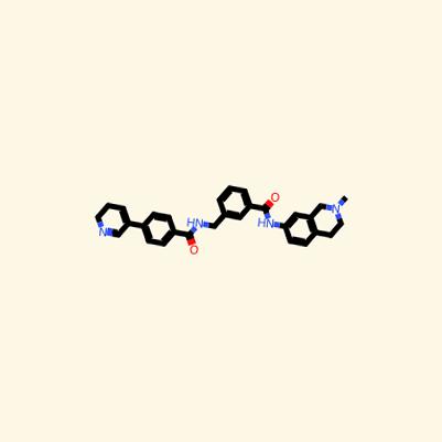 CN1CCc2ccc(NC(=O)c3cccc(CNC(=O)c4ccc(C5=CCCN=C5)cc4)c3)cc2C1